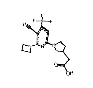 N#Cc1c(C(F)(F)F)cc(N2CCC(CC(=O)O)C2)nc1N1CCC1